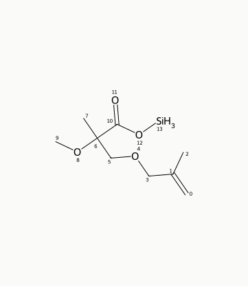 C=C(C)COCC(C)(OC)C(=O)O[SiH3]